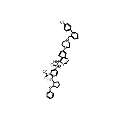 O=[N+]([O-])c1cc(S(=O)(=O)Nc2ncnc3cc(N4CCN(Cc5ccccc5-c5ccc(Cl)cc5)CC4)ccc23)ccc1NC1CCCC1Sc1ccccc1